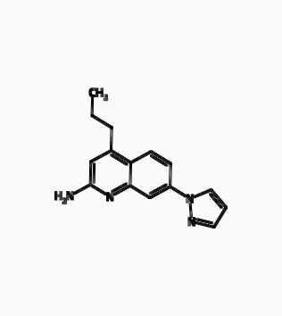 CCCc1cc(N)nc2cc(-n3cccn3)ccc12